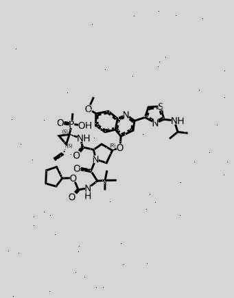 C=C[C@@H]1C[C@]1(NC(=O)C1C[C@@H](Oc2cc(-c3csc(NC(C)C)n3)nc3cc(OC)ccc23)CN1C(=O)C(NC(=O)OC1CCCC1)C(C)(C)C)P(C)(=O)O